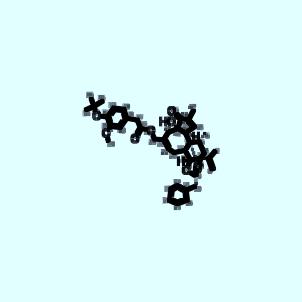 C=C(C)[C@]12C[C@@H](C)[C@@]34O[C@](Cc5ccccc5)(O[C@@H]1C3C/C=C(/COC(=O)Cc1ccc(OC(C)(C)C)c(OC)c1)C[C@]1(O)C(=O)C(C)=C[C@@H]41)O2